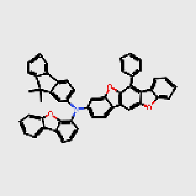 CC1(C)c2ccccc2-c2ccc(N(c3ccc4c(c3)oc3c(-c5ccccc5)c5c(cc34)oc3ccccc35)c3cccc4c3oc3ccccc34)cc21